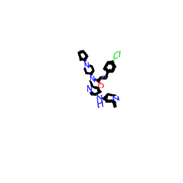 Cc1cc(Nc2ccc(CN(C(=O)/C=C/c3ccc(Cl)cc3)C3CCN(C4CCCC4)CC3)nc2)ccn1